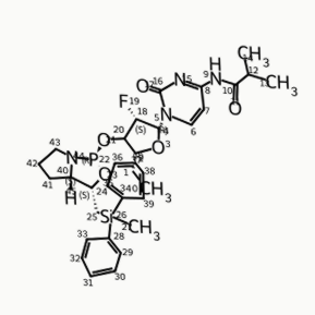 CC[C@H]1O[C@@H](n2ccc(NC(=O)C(C)C)nc2=O)[C@@H](F)C1O[P@@]1O[C@H](C[Si](C)(c2ccccc2)c2ccccc2)[C@@H]2CCCN21